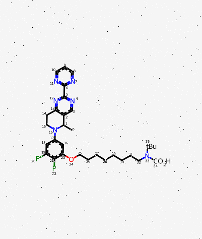 CC1c2cnc(-c3ncccn3)nc2CCN1c1cc(F)c(F)c(OCCCCCCCCN(C(=O)O)C(C)(C)C)c1